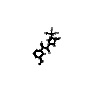 COc1cccc(C(=O)N(F)c2cc(C(F)(F)F)n(C)n2)c1